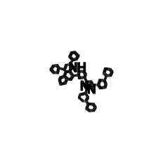 C1=C(c2ccccc2)CCC=C1c1nc(-c2cccc(-c3ccccc3)c2)cc(-c2cccc(-c3cc4ccccc4c4c3NC(c3ccccc3)C=C4c3ccccc3)c2)n1